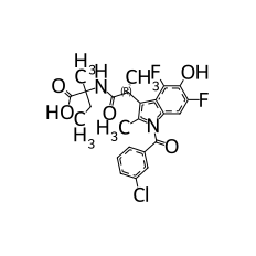 CCC(C)(NC(=O)[C@H](C)c1c(C)n(C(=O)c2cccc(Cl)c2)c2cc(F)c(O)c(F)c12)C(=O)O